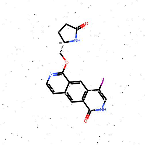 O=C1CC[C@@H](COc2nccc3cc4c(=O)[nH]cc(I)c4cc23)N1